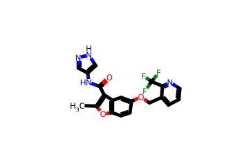 Cc1oc2ccc(OCc3cccnc3C(F)(F)F)cc2c1C(=O)Nc1cn[nH]c1